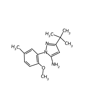 COc1ccc(C)cc1-n1nc(C(C)(C)C)cc1N